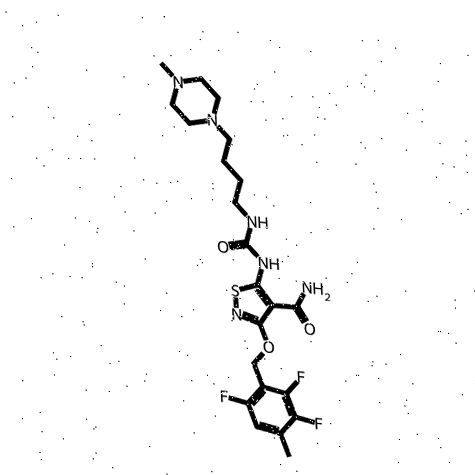 Cc1cc(F)c(COc2nsc(NC(=O)NCCCCN3CCN(C)CC3)c2C(N)=O)c(F)c1F